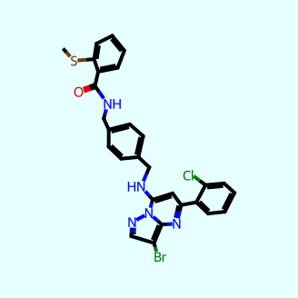 CSc1ccccc1C(=O)NCc1ccc(CNc2cc(-c3ccccc3Cl)nc3c(Br)cnn23)cc1